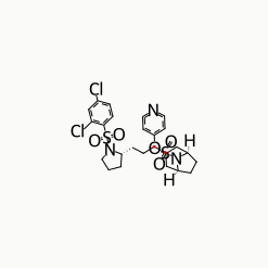 O=S(=O)(CCC[C@@H]1CCCN1S(=O)(=O)c1ccc(Cl)cc1Cl)N1[C@@H]2CC[C@H]1C[C@@H](Oc1ccncc1)C2